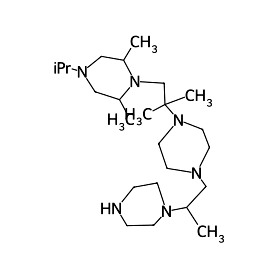 CC(C)N1CC(C)N(CC(C)(C)N2CCN(CC(C)N3CCNCC3)CC2)C(C)C1